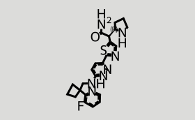 NC(=O)C(c1cnc(-c2ccc(NCC3(c4ncccc4F)CCC3)nn2)s1)[C@H]1CCCN1